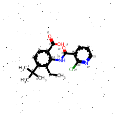 CCc1c(C(C)(C)C)ccc(C(=O)O)c1NC(=O)c1cccnc1Cl